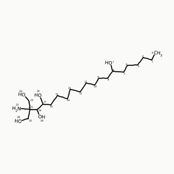 CCCCCCC(O)CCCCCCCCCC(O)C(O)C(N)(CO)CO